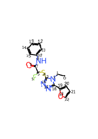 CCn1c(SC(F)C(=O)Nc2ccccc2)nnc1-c1ccco1